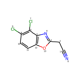 N#CCc1nc2c(Cl)c(Cl)ccc2o1